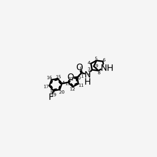 O=C(NC1CC2CNC1C2)c1ccc(-c2cccc(F)c2)o1